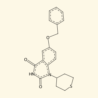 O=c1[nH]c(=O)n(C2CCSCC2)c2ccc(OCc3ccccc3)cc12